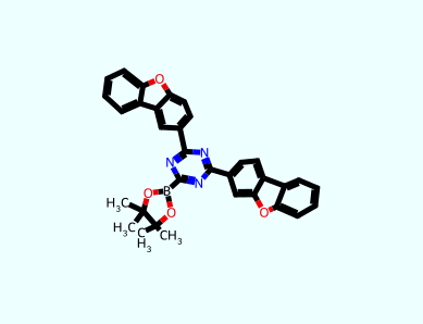 CC1(C)OB(c2nc(-c3ccc4c(c3)oc3ccccc34)nc(-c3ccc4oc5ccccc5c4c3)n2)OC1(C)C